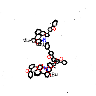 CC(C)(C)c1cc(-c2cccc3cccc(-c4ccccc4N(c4ccc(-c5ccc6c(c5)oc5ccccc56)cc4)c4ccc(-c5ccc6c(c5)oc5cc(CC(C)(C)c7cc(-c8cccc9cccc(-c%10ccccc%10N(c%10ccc(-c%11ccc%12oc%13ccccc%13c%12c%11)cc%10)c%10ccc(-c%11cccc%12oc%13ccccc%13c%11%12)cc%10)c89)cc(C(C)(C)C)c7)ccc56)cc4)c23)cc(C(C)(C)C)c1